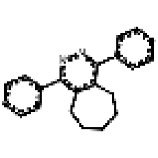 c1ccc(-c2nnc(-c3ccccc3)c3c2CCCCC3)cc1